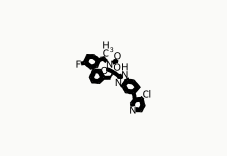 C[C@H](c1ccc(F)cc1)N1C(=O)O[C@](Cc2ccccc2)(c2nc3cc(-c4cnccc4Cl)ccc3[nH]2)C1=O